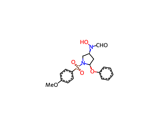 COc1ccc(S(=O)(=O)N2C[C@@H](N(O)C=O)C[C@H]2Oc2ccccc2)cc1